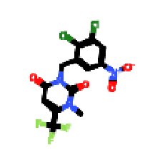 Cn1c(C(F)(F)F)cc(=O)n(Cc2cc([N+](=O)[O-])cc(Cl)c2Cl)c1=O